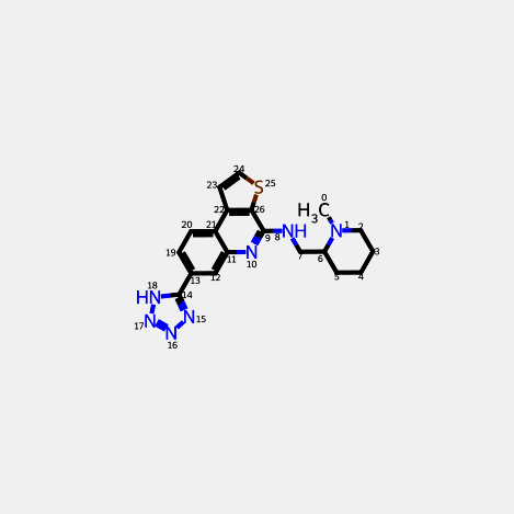 CN1CCCCC1CNc1nc2cc(-c3nnn[nH]3)ccc2c2ccsc12